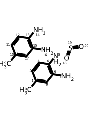 Cc1ccc(N)c(N)c1.Cc1ccc(N)c(N)c1.O=S=O